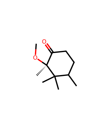 CO[C@@]1(C)C(=O)CCC(C)C1(C)C